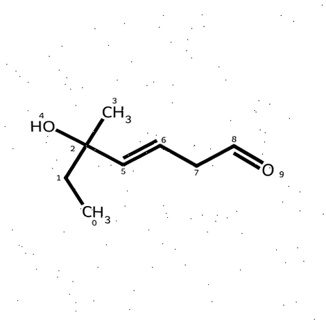 CCC(C)(O)C=CCC=O